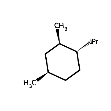 CC(C)[C@@H]1CC[C@@H](C)C[C@H]1C